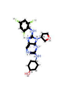 C=C(/N=C1\C(=C/N)N=C(Nc2c(F)cc(F)cc2F)N1[C@H]1CCOC1)N[C@H]1CC[C@@H](O)CC1